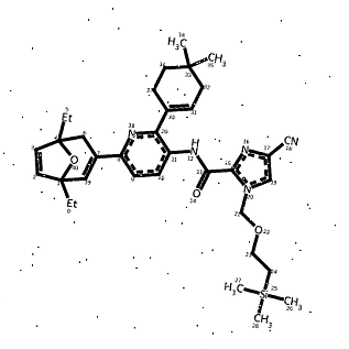 CCC12C=CC(CC)(CC(c3ccc(NC(=O)c4nc(C#N)cn4COCC[Si](C)(C)C)c(C4=CCC(C)(C)CC4)n3)=C1)O2